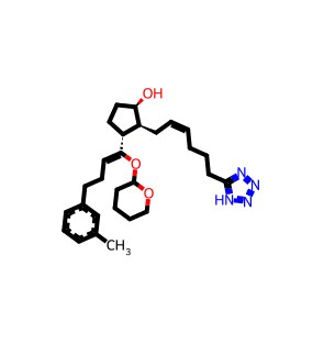 Cc1cccc(CCC=C(OC2CCCCO2)[C@@H]2CC[C@@H](O)[C@H]2C/C=C\CCCc2nnn[nH]2)c1